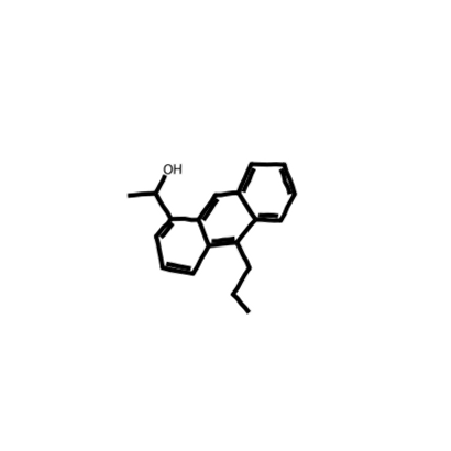 CCCc1c2ccccc2cc2c(C(C)O)cccc12